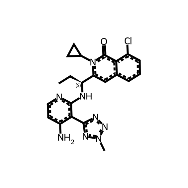 CC[C@H](Nc1nccc(N)c1-c1nnn(C)n1)c1cc2cccc(Cl)c2c(=O)n1C1CC1